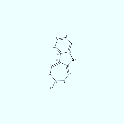 CC1CC=c2sc3ccccc3c2=CC1